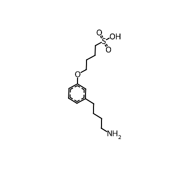 NCCCCc1cccc(OCCCCS(=O)(=O)O)c1